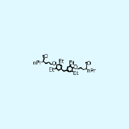 CCCC(CCCOc1c(CC)cc(Cc2cc(CC)c(OCCCC(CCC)C3CO3)c(CC)c2)cc1CC)C1CO1